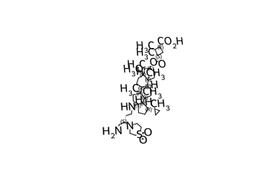 CC1([C@@H]2CC[C@]3(NCC[C@@H](CN)N4CCS(=O)(=O)CC4)CC[C@]4(C)[C@H](CC[C@@H]5[C@@]6(C)CC[C@H](OC(=O)[C@H]7C[C@@H](C(=O)O)C7(C)C)C(C)(C)[C@@H]6CC[C@]54C)[C@@H]23)CC1